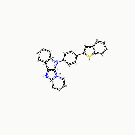 c1ccc2sc(-c3ccc(-n4c5ccccc5c5nc6ccccn6c54)cc3)cc2c1